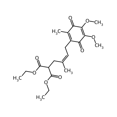 CCOC(=O)C(CC(C)=CCC1=C(C)C(=O)C(OC)=C(OC)C1=O)C(=O)OCC